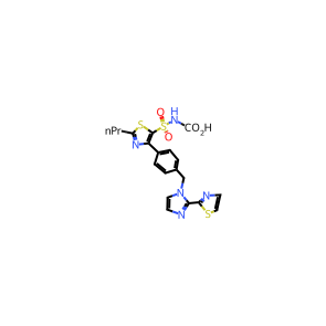 CCCc1nc(-c2ccc(Cn3ccnc3-c3nccs3)cc2)c(S(=O)(=O)NC(=O)O)s1